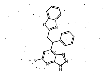 Nc1cc(C(Cc2nc3ccccc3o2)c2ccccc2)c2nn[nH]c2n1